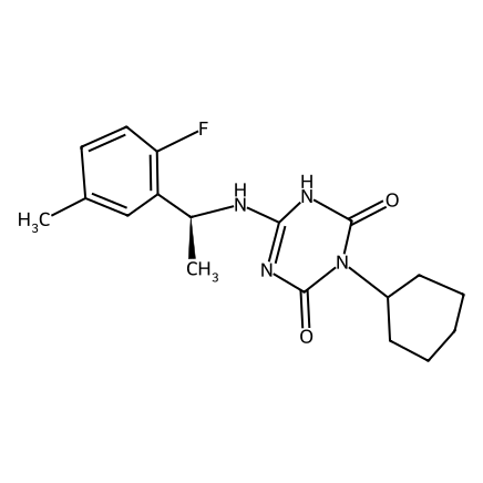 Cc1ccc(F)c([C@H](C)Nc2nc(=O)n(C3CCCCC3)c(=O)[nH]2)c1